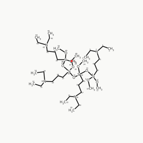 CCN(CC)CCC[Si](OC)(OC)O[Si](CCCN(CC)CC)(OC)O[Si](CCCN(CC)CC)(OC)O[Si](CCCN(CC)CC)(OC)OC